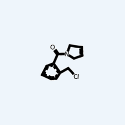 O=C(c1ccccc1CCl)N1CC=CC1